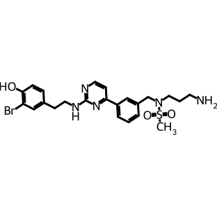 CS(=O)(=O)N(CCCN)Cc1cccc(-c2ccnc(NCCc3ccc(O)c(Br)c3)n2)c1